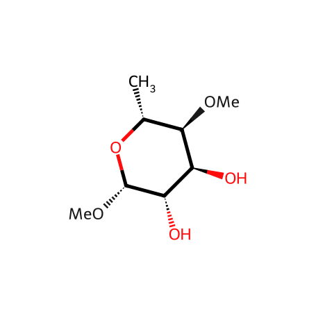 CO[C@@H]1O[C@H](C)[C@@H](OC)[C@@H](O)[C@@H]1O